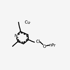 CCCOCl.Cc1cc(C)nc(C)c1.[Cu]